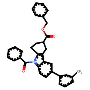 O=C(OCc1ccccc1)C1CCc2c(c3cc(-c4cccc(C(F)(F)F)c4)ccc3n2C(=O)c2ccccc2)C1